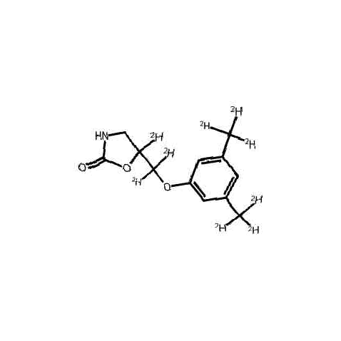 [2H]C([2H])([2H])c1cc(OC([2H])([2H])C2([2H])CNC(=O)O2)cc(C([2H])([2H])[2H])c1